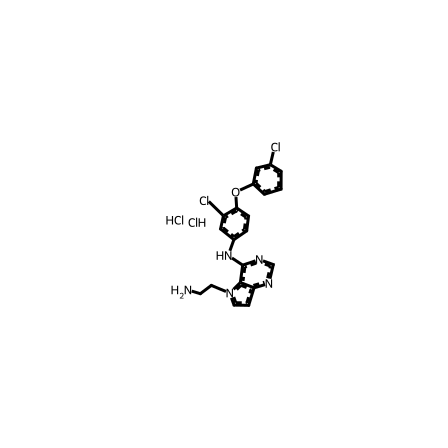 Cl.Cl.NCCn1ccc2ncnc(Nc3ccc(Oc4cccc(Cl)c4)c(Cl)c3)c21